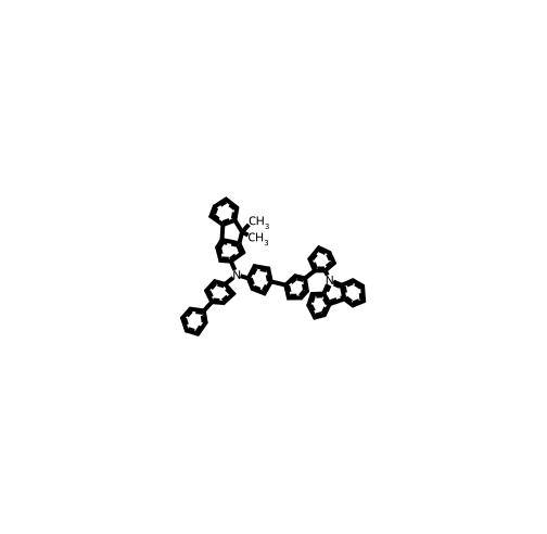 CC1(C)c2ccccc2-c2ccc(N(c3ccc(-c4ccccc4)cc3)c3ccc(-c4cccc(-c5ccccc5-n5c6ccccc6c6ccccc65)c4)cc3)cc21